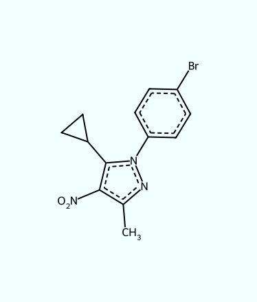 Cc1nn(-c2ccc(Br)cc2)c(C2CC2)c1[N+](=O)[O-]